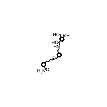 NC(=O)c1cccc(CCCCOCc2cccc(CCNC[C@@H](O)c3ccc(O)c(CO)c3)c2)c1